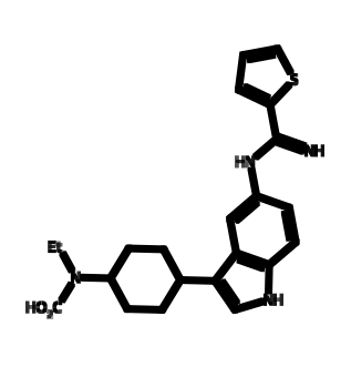 CCN(C(=O)O)C1CCC(c2c[nH]c3ccc(NC(=N)c4cccs4)cc23)CC1